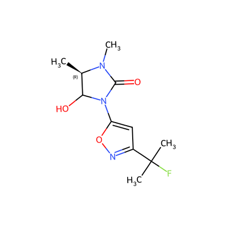 C[C@@H]1C(O)N(c2cc(C(C)(C)F)no2)C(=O)N1C